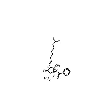 O=C(O)C[C@@]1(OC(=O)c2ccccc2)CC(=O)[C@H](C=CCCCCCC(F)F)[C@H]1O